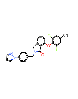 N#Cc1cc(F)c(Oc2cccc3c2C(=O)N(Cc2ccc(-n4cccn4)cc2)C3)c(F)c1